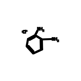 Nc1ccccc1N.[Cl+]